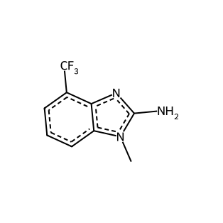 Cn1c(N)nc2c(C(F)(F)F)cccc21